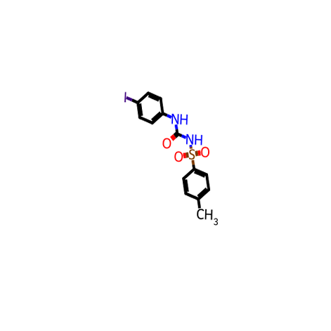 Cc1ccc(S(=O)(=O)NC(=O)Nc2ccc(I)cc2)cc1